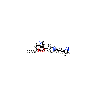 COc1ccc2nccc([C@@H](O)CC[C@@H]3CCN(CCCCc4cccnc4)C[C@@H]3C(=O)O)c2c1